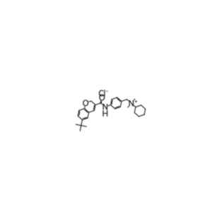 CC(C)(C)c1ccc2c(c1)C=C(C(=O)Nc1ccc(C[N+](C)(C)C3CCCCC3)cc1)CO2.[Cl-]